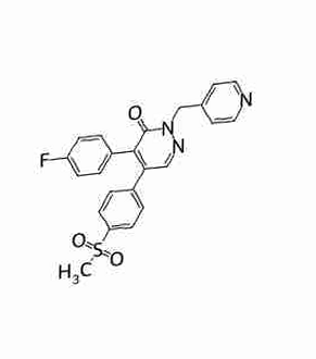 CS(=O)(=O)c1ccc(-c2cnn(Cc3ccncc3)c(=O)c2-c2ccc(F)cc2)cc1